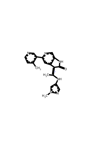 C/C(Nc1cnn(C)c1)=C1/C(=O)Nc2cnc(-c3cnccc3C)cc21